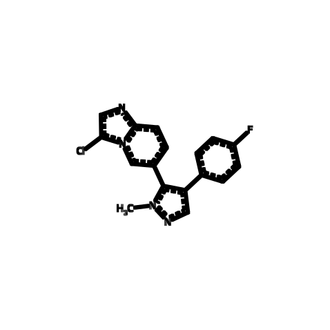 Cn1ncc(-c2ccc(F)cc2)c1-c1ccc2ncc(Cl)n2c1